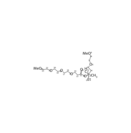 CCP(C)(C)(CCOCCOC)OC(=O)CCOCCOCCOCCOC